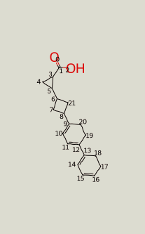 O=C(O)C1CC1C1CC(C2=CC=C(C3=CC=CCC3)CC2)C1